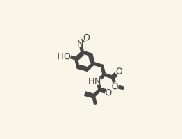 C=C(C)C(=O)NC(Cc1ccc(O)c(N=O)c1)C(=O)OC